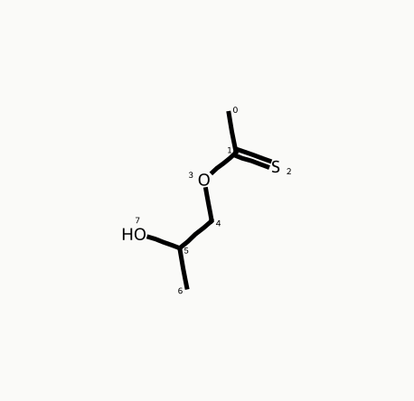 CC(=S)OCC(C)O